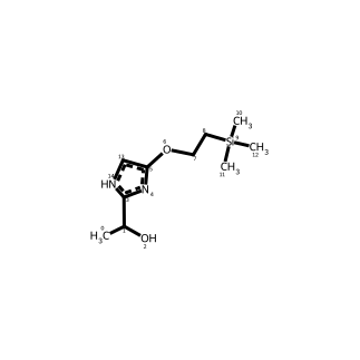 CC(O)c1nc(OCC[Si](C)(C)C)c[nH]1